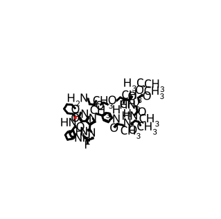 CC(C)[C@H](NC(=O)[C@H](CCC(=O)OC(C)(C)C)NC(=O)C(C)(C)CCOCCOC(C)(C)CCN)C(=O)N[C@@H](C)C(=O)Nc1ccc(Cn2cc(-c3ncc(F)c(N[C@H]4C5CCC(CC5)C4C(=O)NOC4CCCCO4)n3)c3cc(F)cnc32)cc1